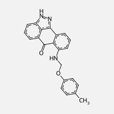 Cc1ccc(OCNc2cccc3c2C(=O)c2cccc4[nH]nc-3c24)cc1